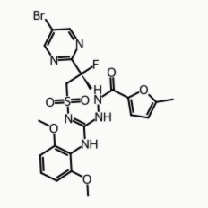 COc1cccc(OC)c1N/C(=N/S(=O)(=O)C[C@@](C)(F)c1ncc(Br)cn1)NNC(=O)c1ccc(C)o1